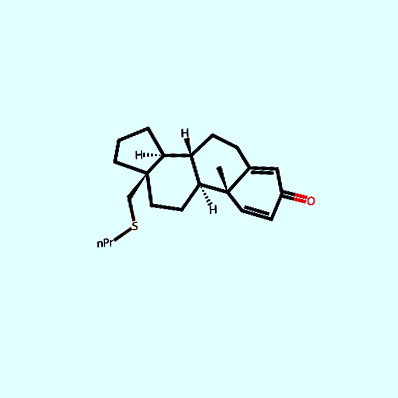 CCCSC[C@@]12CCC[C@H]1[C@@H]1CCC3=CC(=O)C=C[C@]3(C)[C@H]1CC2